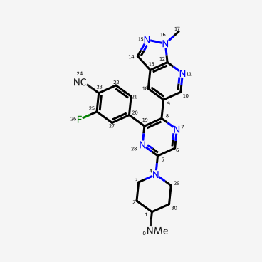 CNC1CCN(c2cnc(-c3cnc4c(cnn4C)c3)c(-c3ccc(C#N)c(F)c3)n2)CC1